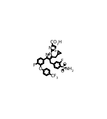 NS(=O)(=O)c1ccc(Cc2c(-c3ccc(F)c(Oc4ccc(C(F)(F)F)cc4)c3)nn(-c3nc(C(=O)O)cs3)c2CC2CC2)cc1F